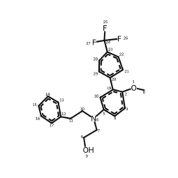 COc1ccc(N(CCO)CCc2ccccc2)cc1-c1ccc(C(F)(F)F)cc1